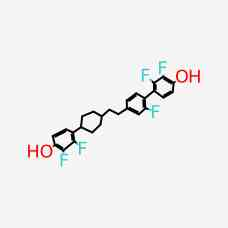 Oc1ccc(-c2ccc(CCC3CCC(c4ccc(O)c(F)c4F)CC3)cc2F)c(F)c1F